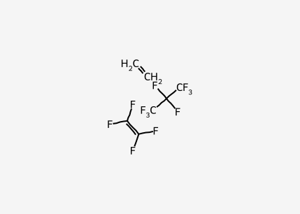 C=C.FC(F)(F)C(F)(F)C(F)(F)F.FC(F)=C(F)F